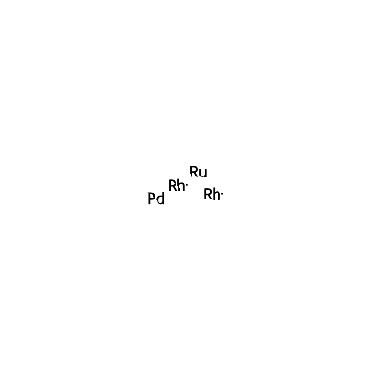 [Pd].[Rh].[Rh].[Ru]